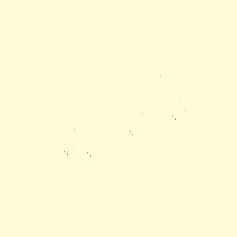 O=C1Cc2cccn2C(=O)N1CC1CCCCC1CN1CCC(c2noc3cc(F)ccc23)CC1